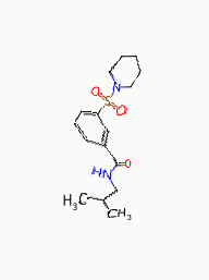 CC(C)CNC(=O)c1cccc(S(=O)(=O)N2CCCCC2)c1